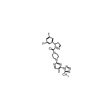 Cc1nnnn1-c1nc(N2CCN(C(=O)N3N=CCC3c3cc(F)cc(F)c3)CC2)ncc1F